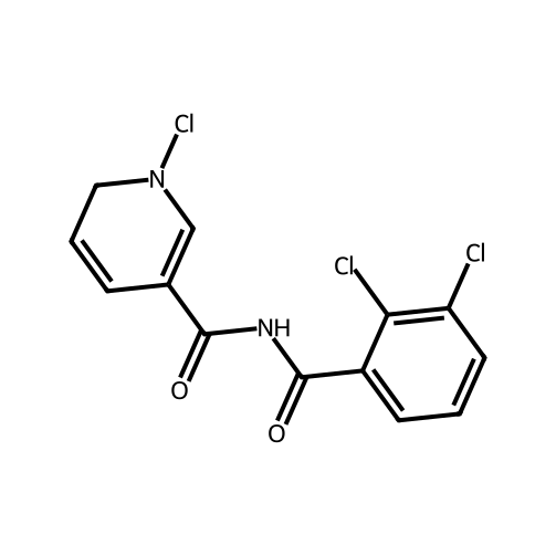 O=C(NC(=O)c1cccc(Cl)c1Cl)C1=CN(Cl)CC=C1